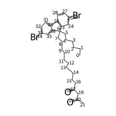 CCCCCCC1(CCCCCCCCCCC(=O)CC(C)=O)c2cc(Br)ccc2-c2ccc(Br)cc21